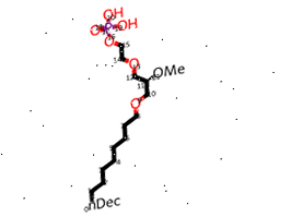 CCCCCCCCCCCCCCCCCCOC[C@@H](COCCOP(=O)(O)O)OC